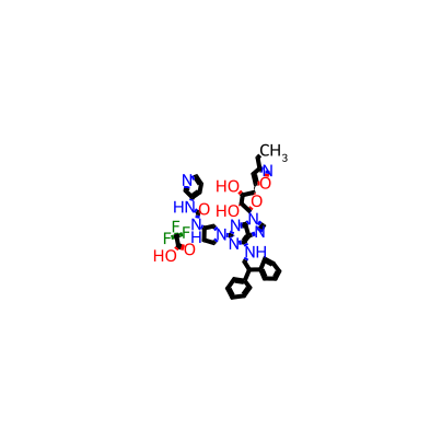 CCc1cc([C@@H]2O[C@@H](n3cnc4c(NCC(c5ccccc5)c5ccccc5)nc(N5CCC(NC(=O)Nc6cccnc6)C5)nc43)[C@H](O)C2O)on1.O=C(O)C(F)(F)F